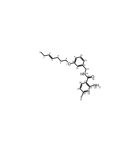 CC/C=C/CCCOc1cccc(CNC(=O)c2ccc(F)nc2N)c1